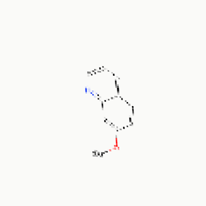 CC(C)(C)Oc1ccc2cccnc2c1